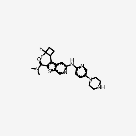 CN(C)C(=O)c1sc2cnc(Nc3ccc(N4CCNCC4)cn3)cc2c1C1CCC1(F)F